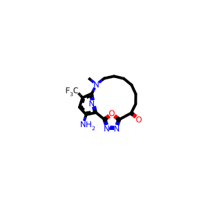 CN1CCCCCCC(=O)c2nnc(o2)-c2nc1c(C(F)(F)F)cc2N